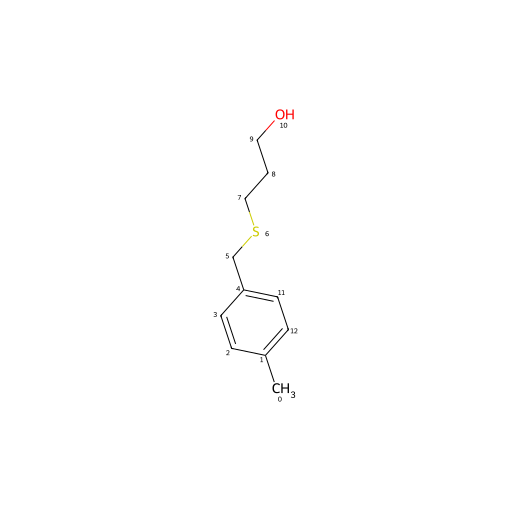 Cc1ccc(CSCCCO)cc1